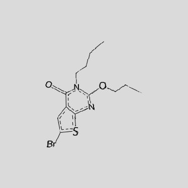 CCCCn1c(OCCC)nc2sc(Br)cc2c1=O